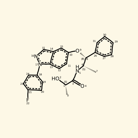 C[C@H](O)C(=O)N[C@@H](C)[C@H](Oc1ccc2c(cnn2-c2ccc(F)cc2)c1)c1ccccc1